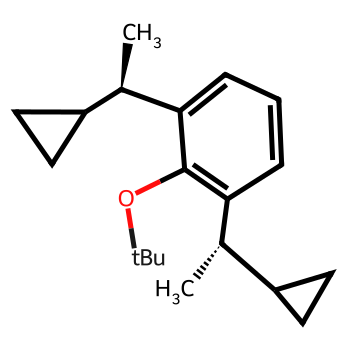 C[C@H](c1cccc([C@H](C)C2CC2)c1OC(C)(C)C)C1CC1